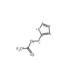 O=C(O[I+]c1cccs1)C(F)(F)F